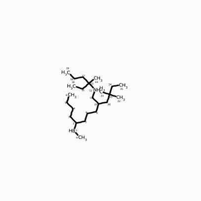 CBC(CCCC)CCCC(CNC(C)(CC)CCC)CC(C)(C)CC